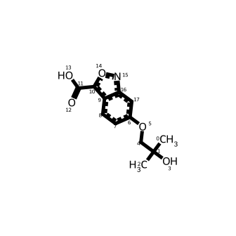 CC(C)(O)COc1ccc2c(C(=O)O)onc2c1